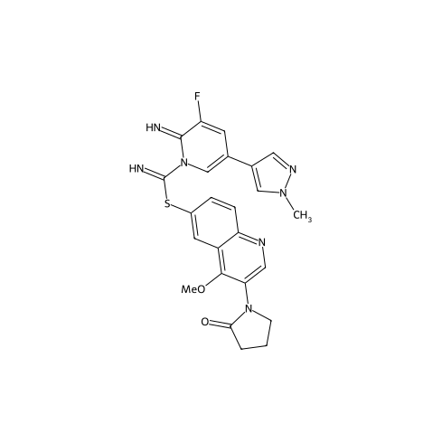 COc1c(N2CCCC2=O)cnc2ccc(SC(=N)n3cc(-c4cnn(C)c4)cc(F)c3=N)cc12